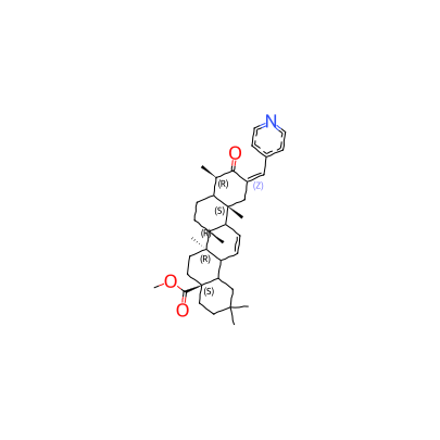 COC(=O)[C@]12CCC(C)(C)CC1C1C=CC3[C@@]4(C)C/C(=C/c5ccncc5)C(=O)[C@H](C)C4CC[C@@]3(C)[C@]1(C)CC2